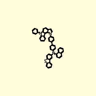 c1ccc(-n2c3ccccc3c3c4c(ccc32)ccn4-c2ccc(-c3ccc(N(c4ccc5sc6ccccc6c5c4)c4cccc5ccccc45)cc3)cc2)cc1